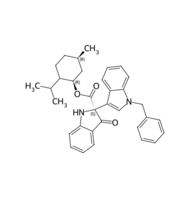 CC(C)C1CC[C@@H](C)C[C@H]1OC(=O)[C@@]1(c2cn(Cc3ccccc3)c3ccccc23)Nc2ccccc2C1=O